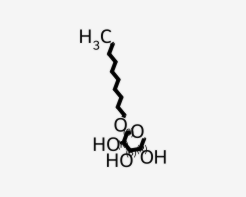 CCCCCCCCCCO[C@H]1OC[C@@H](O)[C@H](O)[C@H]1O